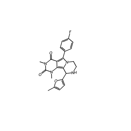 Cc1ccc(C2NCCn3c(-c4ccc(F)cc4)c4c(=O)n(C)c(=O)n(C)c4c32)o1